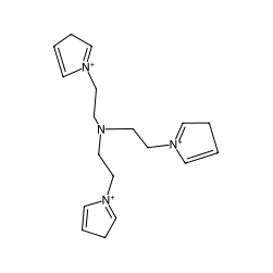 C1=C[N+](CCN(CC[N+]2=CCC=C2)CC[N+]2=CCC=C2)=CC1